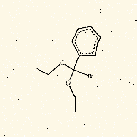 CCOC(Br)(OCC)c1ccccc1